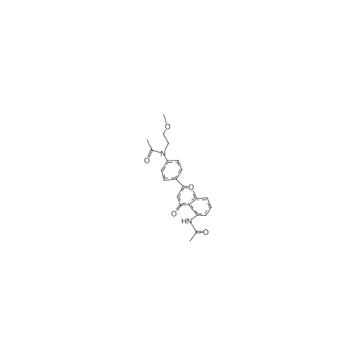 COCCN(C(C)=O)c1ccc(-c2cc(=O)c3c(NC(C)=O)cccc3o2)cc1